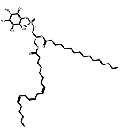 CCCCC/C=C\C/C=C\C/C=C\CCCCCCC(=O)OC[C@H](COP(=O)(O)OC1C(O)C(O)C(O)[C@@H](O)C1O)OC(=O)CCCCCCCCCCCCCCC